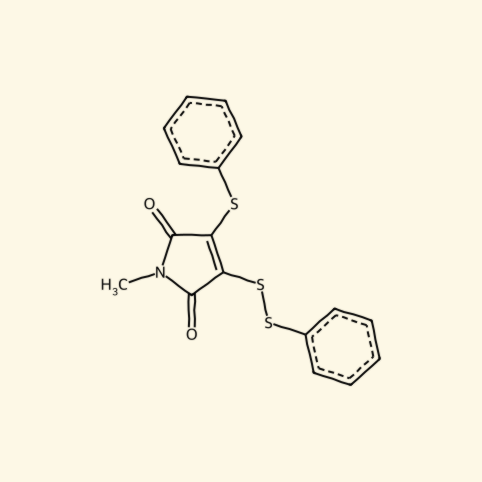 CN1C(=O)C(SSc2ccccc2)=C(Sc2ccccc2)C1=O